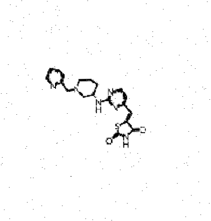 O=C1NC(=O)C(=Cc2ccnc(N[C@H]3CCCN(Cc4ccccn4)C3)n2)S1